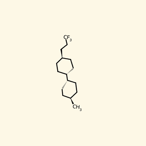 C[C@H]1CC[C@H]([C@H]2CC[C@H](CCC(F)(F)F)CC2)CC1